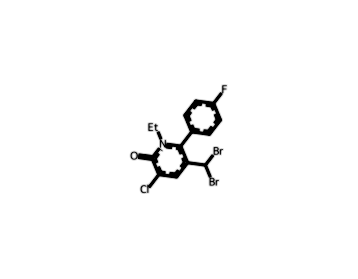 CCn1c(-c2ccc(F)cc2)c(C(Br)Br)cc(Cl)c1=O